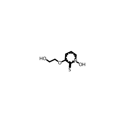 OCCOc1cccn(O)c1=S